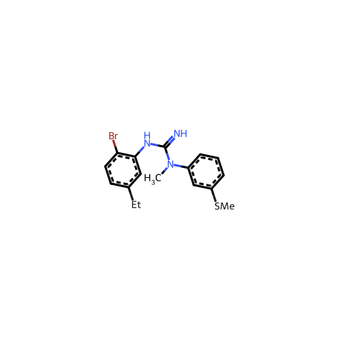 CCc1ccc(Br)c(NC(=N)N(C)c2cccc(SC)c2)c1